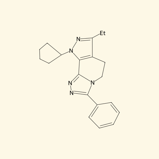 CCc1nn(C2CCCC2)c2c1CCn1c(-c3ccccc3)nnc1-2